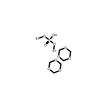 C1OCOCO1.C1OCOCO1.CCOP(=O)(O)OCC